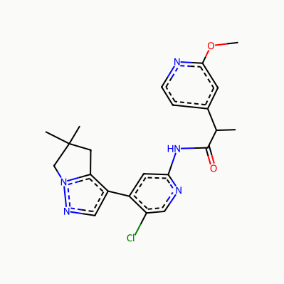 COc1cc(C(C)C(=O)Nc2cc(-c3cnn4c3CC(C)(C)C4)c(Cl)cn2)ccn1